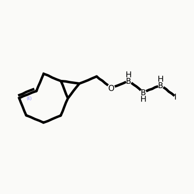 IBBBOCC1C2C/C=C/CCCC21